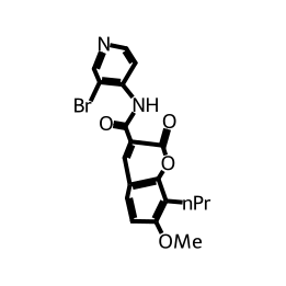 CCCc1c(OC)ccc2cc(C(=O)Nc3ccncc3Br)c(=O)oc12